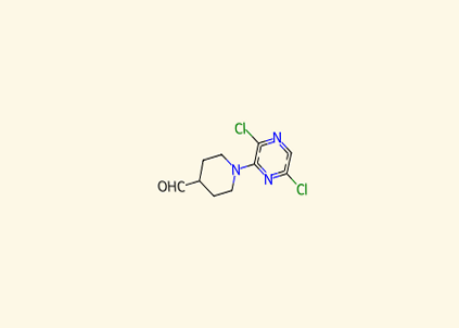 O=CC1CCN(c2nc(Cl)cnc2Cl)CC1